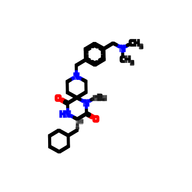 CCCCN1C(=O)[C@H](CC2CCCCC2)NC(=O)C12CCN(Cc1ccc(CN(C)C)cc1)CC2